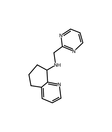 c1cnc(CNC2CCCc3cccnc32)nc1